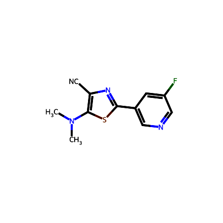 CN(C)c1sc(-c2cncc(F)c2)nc1C#N